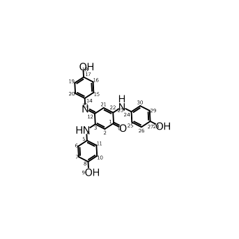 O=C1C=C(Nc2ccc(O)cc2)/C(=N/c2ccc(O)cc2)C=C1Nc1ccc(O)cc1